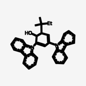 CCC(C)(C)C1C=C(n2c3ccccc3c3ccccc32)C=C(n2c3ccccc3c3ccccc32)C1O